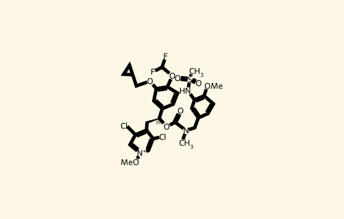 COc1ccc(CN(C)C(=O)O[C@@H](Cc2c(Cl)c[n+](OC)cc2Cl)c2ccc(OC(F)F)c(OCC3CC3)c2)cc1NS(C)(=O)=O